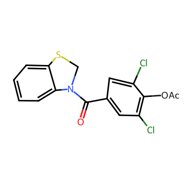 CC(=O)Oc1c(Cl)cc(C(=O)N2CSc3ccccc32)cc1Cl